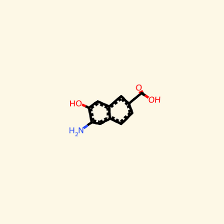 Nc1cc2ccc(C(=O)O)cc2cc1O